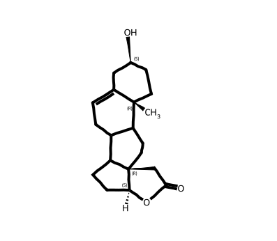 C[C@]12CC[C@H](O)CC1=CCC1C3CC[C@@H]4OC(=O)C[C@]34CCC12